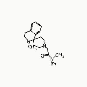 CC(C)N(C)C(=O)CN1CCC2(CC1)c1ccccc1CCN2C